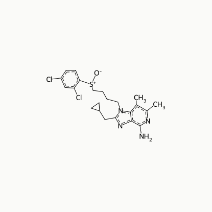 Cc1nc(N)c2nc(CC3CC3)n(CCCC[S+]([O-])c3ccc(Cl)cc3Cl)c2c1C